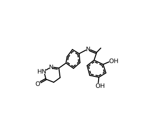 CC(=Nc1ccc(C2=NNC(=O)CC2)cc1)c1ccc(O)cc1O